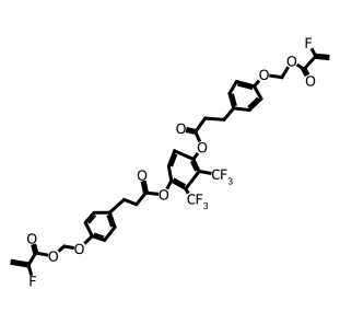 C=C(F)C(=O)OCOc1ccc(CCC(=O)Oc2ccc(OC(=O)CCc3ccc(OCOC(=O)C(=C)F)cc3)c(C(F)(F)F)c2C(F)(F)F)cc1